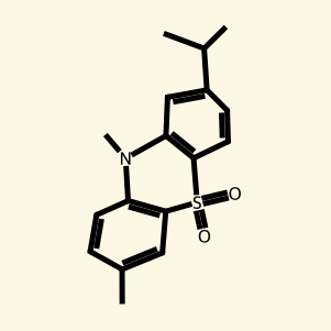 Cc1ccc2c(c1)S(=O)(=O)c1ccc(C(C)C)cc1N2C